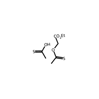 CC(O)=S.CCOC(=O)COC(C)=S